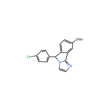 COc1ccc2c(c1)-c1nccn1C2c1ccc(Cl)cc1